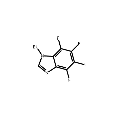 CCn1cnc2c(F)c(I)c(F)c(F)c21